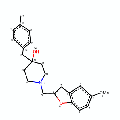 COc1ccc2c(c1)CC(CN1CCC(O)(Cc3ccc(C)cc3)CC1)O2